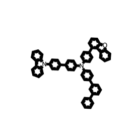 c1ccc(-c2cccc(-c3ccc(N(c4ccc(-c5ccc(-n6c7ccccc7c7ccccc76)cc5)cc4)c4ccc(-c5cccc6oc7ccccc7c56)cc4)cc3)c2)cc1